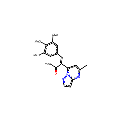 COC(=O)C(=Cc1cc(OC)c(OC)c(OC)c1)c1cc(C)nc2ccnn12